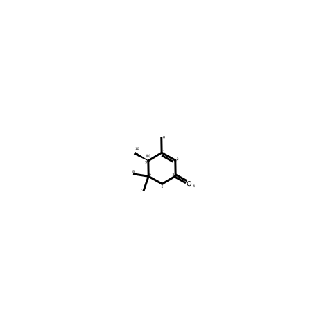 CC1=CC(=O)CC(C)(C)[C@H]1C